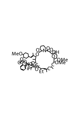 CCC1/C=C(\C)CC(C)CC(OC)C2OC(O)(C(=O)C(=O)N3CCCCC3C(=O)OC(C(C)=CC3CCC(OC)C(OS(=O)(=O)c4ccccc4[N+](=O)[O-])C3)C(C)C(O[Si](C(C)C)(C(C)C)C(C)C)CC1=O)C(C)CC2OC